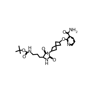 CC(C)(C)OC(=O)NCCCC1NC(=O)N(C2CC3(CC(Oc4ncccc4C(N)=O)C3)C2)C1=O